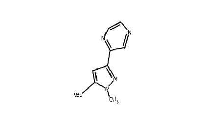 Cn1nc(-c2cnccn2)cc1C(C)(C)C